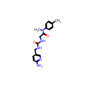 Cc1ccc(N(C)C(=O)CNC(=O)NCc2ccc(N)nc2)cc1